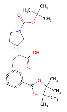 CC(C)(C)OC(=O)N1CC[C@@H](C(Cc2cccc(B3OC(C)(C)C(C)(C)O3)c2)C(=O)O)C1